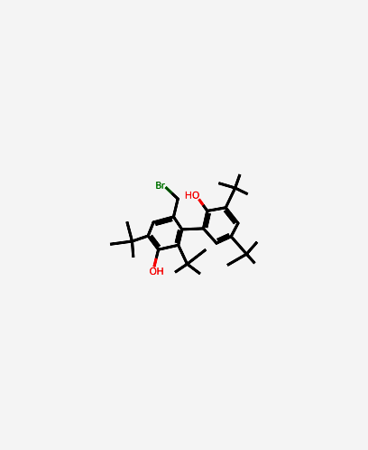 CC(C)(C)c1cc(-c2c(CBr)cc(C(C)(C)C)c(O)c2C(C)(C)C)c(O)c(C(C)(C)C)c1